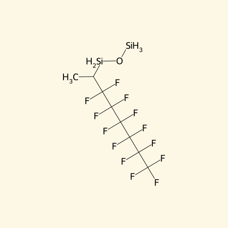 CC([SiH2]O[SiH3])C(F)(F)C(F)(F)C(F)(F)C(F)(F)C(F)(F)C(F)(F)F